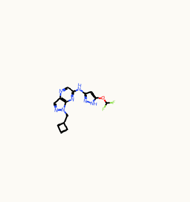 FC(F)Oc1cc(Nc2cnc3cnn(CC4CCC4)c3n2)n[nH]1